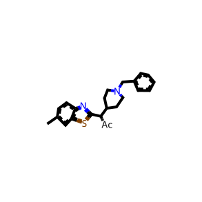 CC(=O)C(c1nc2ccc(C)cc2s1)C1CCN(Cc2ccccc2)CC1